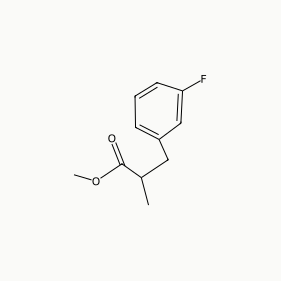 COC(=O)C(C)Cc1cccc(F)c1